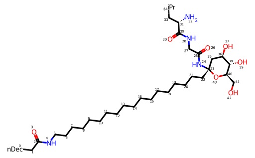 CCCCCCCCCCCC(=O)NCCCCCCCCCCCCCCCCCC[C@@]1(NC(=O)CNC(=O)[C@@H](N)CC(C)C)C[C@@H](O)[C@H](O)[C@@H](CO)O1